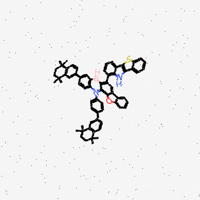 CC1(C)CCC(C)(C)c2cc(-c3ccc(N4c5ccc(-c6ccc7c(c6)C(C)(C)CCC7(C)C)cc5Bc5c(-c6cccc7c6[nH]c6c8ccccc8sc76)cc6c(oc7ccccc76)c54)cc3)ccc21